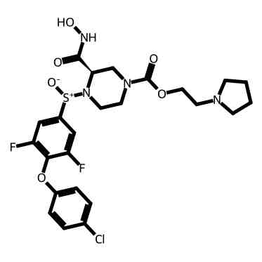 O=C(NO)[C@H]1CN(C(=O)OCCN2CCCC2)CCN1[S+]([O-])c1cc(F)c(Oc2ccc(Cl)cc2)c(F)c1